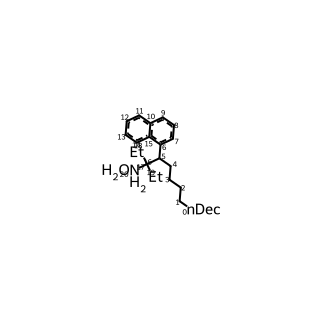 CCCCCCCCCCCCCCC(c1cccc2ccccc12)C(N)(CC)CC.O